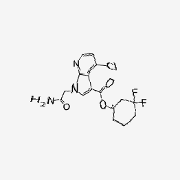 NC(=O)Cn1cc(C(=O)O[C]2CCCC(F)(F)C2)c2c(Cl)ccnc21